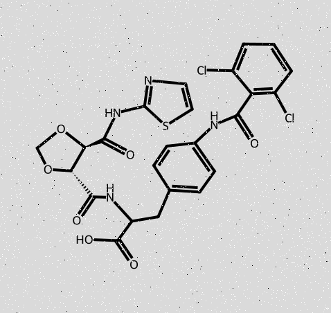 O=C(Nc1ccc(CC(NC(=O)[C@@H]2OCO[C@H]2C(=O)Nc2nccs2)C(=O)O)cc1)c1c(Cl)cccc1Cl